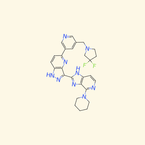 FC1(F)CCN(Cc2cncc(-c3ccc4[nH]nc(-c5nc6c(N7CCCCC7)nccc6[nH]5)c4n3)c2)C1